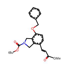 COC(=O)C=Cc1ccc(OCc2ccccc2)c2c1CN(C(=O)OC(C)(C)C)C2